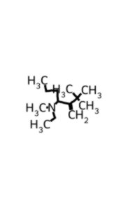 C=C(C(CCC)N(C)CC)C(C)(C)C